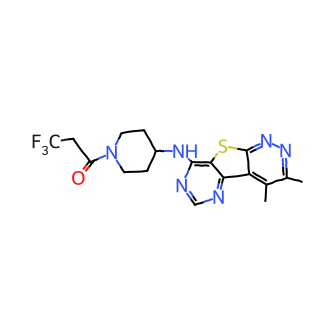 Cc1nnc2sc3c(NC4CCN(C(=O)CC(F)(F)F)CC4)ncnc3c2c1C